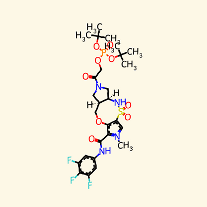 Cn1cc2c(c1C(=O)Nc1cc(F)c(F)c(F)c1)OC[C@H]1CN(C(=O)COP(=O)(OC(C)(C)C)OC(C)(C)C)C[C@H]1NS2(=O)=O